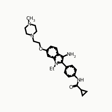 CCn1c(-c2ccc(NC(=O)C3CC3)cc2)c(N)c2ccc(OCCN3CCN(C)CC3)cc21